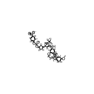 COc1ccc(CN2CCOc3cc(Nc4cc([C@H]5CC[C@@H](OC(=O)Oc6ccc([N+](=O)[O-])cc6)C5)nn4C(C)(C)C)ccc3S2(=O)=O)cc1